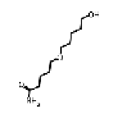 NC(=O)CCCCOCCCCCO